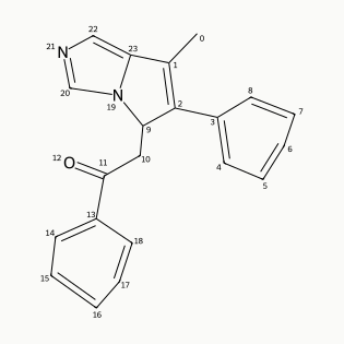 CC1=C(c2ccccc2)C(CC(=O)c2ccccc2)n2cncc21